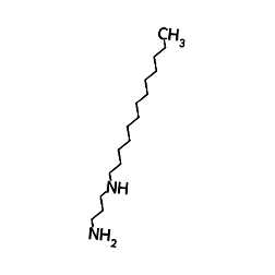 CCCCCCCCCCCCCNCCCN